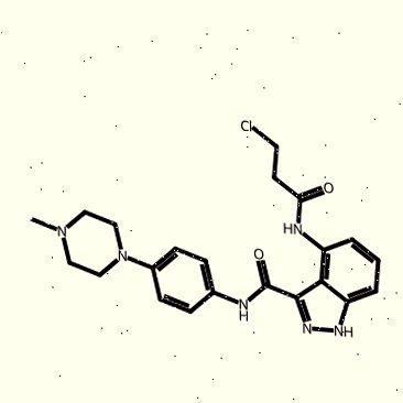 CN1CCN(c2ccc(NC(=O)c3n[nH]c4cccc(NC(=O)CCCl)c34)cc2)CC1